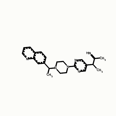 CC(=N)C(C)c1cnc(N2CCN(C(C)c3ccc4cccnc4c3)CC2)nc1